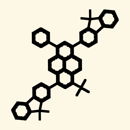 CC1(C)c2ccccc2-c2ccc(-c3cc(-c4ccccc4)c4ccc5c(-c6ccc7c(c6)C(C)(C)c6ccccc6-7)cc([Si](C)(C)C)c6ccc3c4c56)cc21